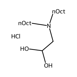 CCCCCCCCN(CCCCCCCC)CC(O)O.Cl